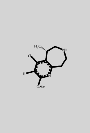 COc1nc2c(c(Cl)c1Br)[C@H](C)CNCC2